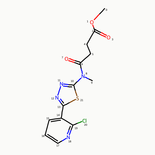 COC(=O)CCC(=O)N(C)c1nnc(-c2cccnc2Cl)s1